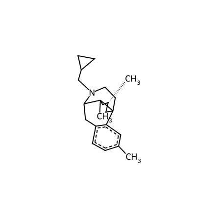 Cc1ccc2c(c1)C13CCN(CC4CC4)C(C2)C1(C)C[C@H](C)C3